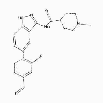 CN1CCC(C(=O)Nc2n[nH]c3ccc(-c4ccc(C=O)cc4F)cc23)CC1